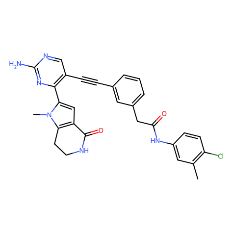 Cc1cc(NC(=O)Cc2cccc(C#Cc3cnc(N)nc3-c3cc4c(n3C)CCNC4=O)c2)ccc1Cl